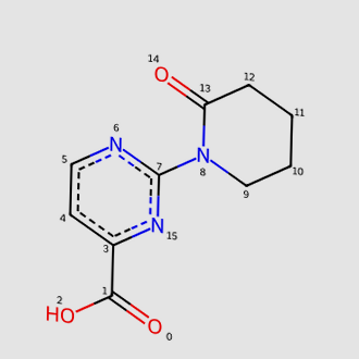 O=C(O)c1ccnc(N2CCCCC2=O)n1